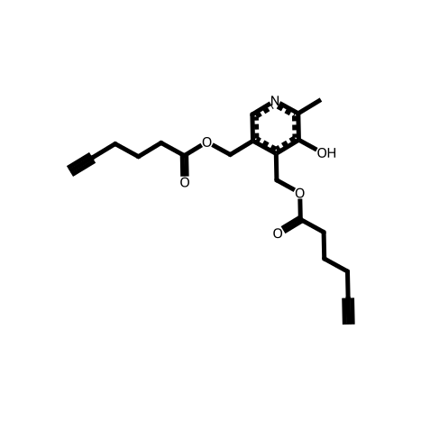 C#CCCCC(=O)OCc1cnc(C)c(O)c1COC(=O)CCCC#C